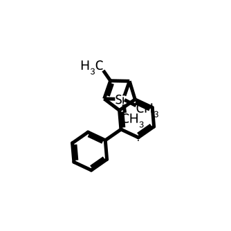 CC1=C2c3c(-c4ccccc4)[c]ccc3C1[Si]2(C)C